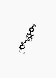 Cc1c(NCCNc2ccc(C(F)(F)F)cn2)nnc(-c2ccc(C(C)C)cc2)c1C